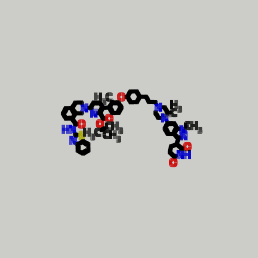 Cc1c(OC2CCC(CCCN3CCN(c4ccc5c(C6CCC(=O)NC6=O)nn(C)c5c4)[C@H](C)C3)CC2)cccc1-c1ccc(N2CCc3cccc(C(=O)Nc4nc5ccccc5s4)c3C2)nc1C(=O)OC(C)(C)C